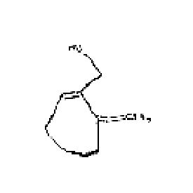 C=C1CCCC=C1CO